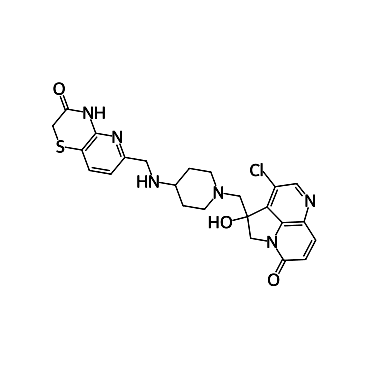 O=C1CSc2ccc(CNC3CCN(CC4(O)Cn5c(=O)ccc6ncc(Cl)c4c65)CC3)nc2N1